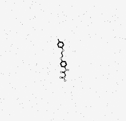 Cc1ccc(OCCOc2ccc(NC(=O)C[N+](=O)[O-])cc2)cc1